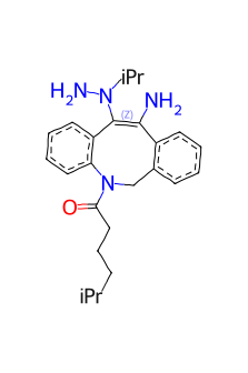 CC(C)CCCC(=O)N1Cc2ccccc2/C(N)=C(/N(N)C(C)C)c2ccccc21